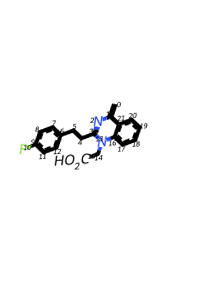 C=C1N=C(CCc2ccc(F)cc2)N(CC(=O)O)c2ccccc21